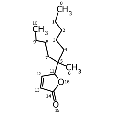 CCCCCC(C)(CCCC)C1C=CC(=O)O1